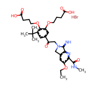 Br.CCOc1cc2c(nc1C(=O)NC)C(=N)N(CC(=O)c1cc(OCCCC(=O)O)c(OCCCC(=O)O)c(C(C)(C)C)c1)C2